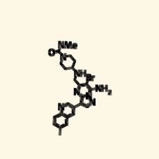 CNC(=O)N1CCC(NCc2nc3c(-c4cnc5ccc(C)cc5c4)cnn3c(N)c2Br)CC1